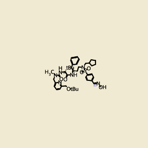 CN(Cc1cccc(COC(C)(C)C)n1)C(=O)N[C@@H](C(=O)N[C@H](CCN(CC1CCCC1)S(=O)(=O)c1ccc(/C=N/O)cc1)Cc1ccccc1)C(C)(C)C